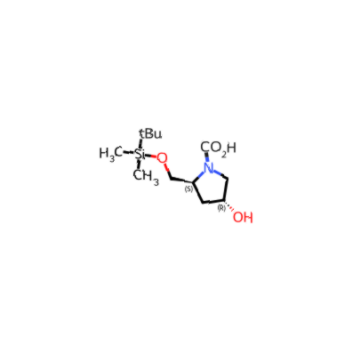 CC(C)(C)[Si](C)(C)OC[C@@H]1C[C@@H](O)CN1C(=O)O